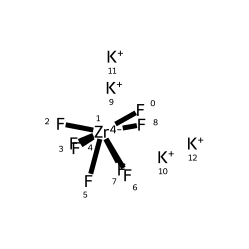 [F][Zr-4]([F])([F])([F])([F])([F])([F])[F].[K+].[K+].[K+].[K+]